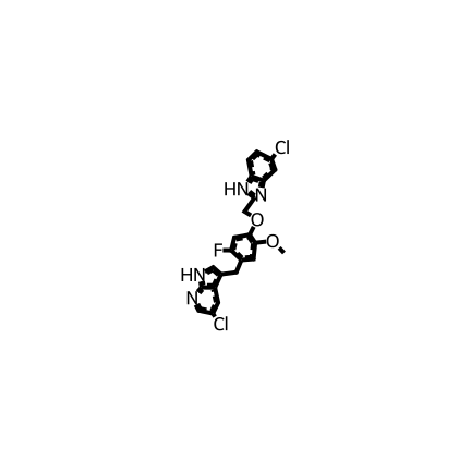 COc1cc(Cc2c[nH]c3ncc(Cl)cc23)c(F)cc1OCc1nc2cc(Cl)ccc2[nH]1